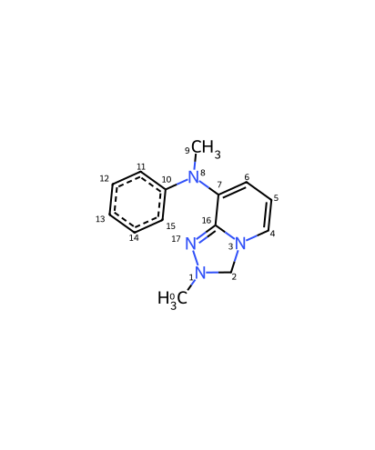 CN1CN2C=CC=C(N(C)c3ccccc3)C2=N1